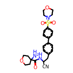 N#CC(Cc1ccc(-c2ccc(S(=O)(=O)N3CCOCC3)cc2)cc1)NC(=O)C1(N)CCOCC1